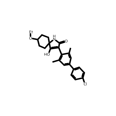 CCOC1CCC2(CC1)NC(=O)C(c1c(C)cc(-c3ccc(Cl)cc3)cc1C)=C2O